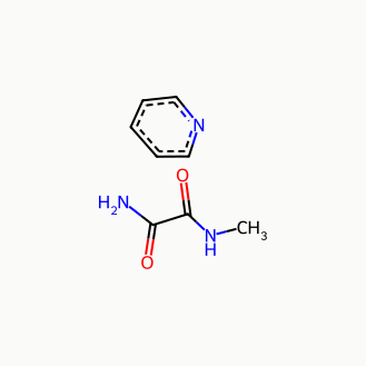 CNC(=O)C(N)=O.c1ccncc1